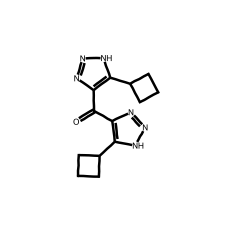 O=C(c1nn[nH]c1C1CCC1)c1nn[nH]c1C1CCC1